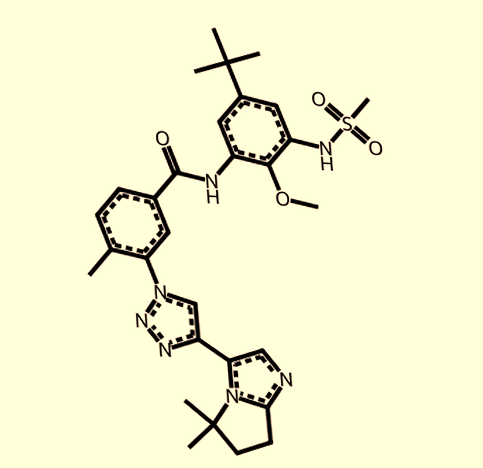 COc1c(NC(=O)c2ccc(C)c(-n3cc(-c4cnc5n4C(C)(C)CC5)nn3)c2)cc(C(C)(C)C)cc1NS(C)(=O)=O